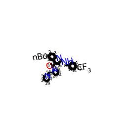 CCCCc1ccc2nc(NCc3ccc(C(F)(F)F)cc3)cc(C(=O)N3CCC[C@H]3CN3CCCC3)c2c1